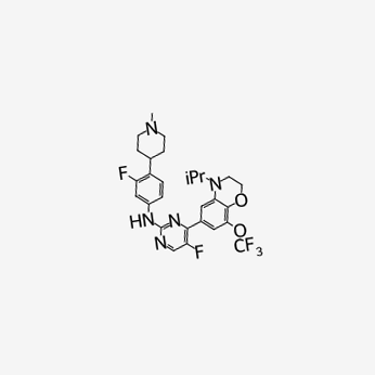 CC(C)N1CCOc2c(OC(F)(F)F)cc(-c3nc(Nc4ccc(C5CCN(C)CC5)c(F)c4)ncc3F)cc21